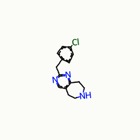 Clc1ccc(Cc2ncc3c(n2)CCNCC3)cc1